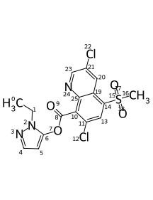 CCn1nccc1OC(=O)c1c(Cl)cc(S(C)(=O)=O)c2cc(Cl)cnc12